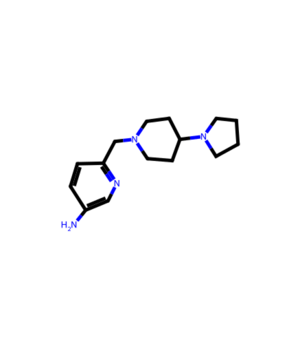 Nc1ccc(CN2CCC(N3CCCC3)CC2)nc1